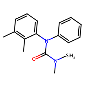 Cc1cccc(N(C(=O)N(C)[SiH3])c2ccccc2)c1C